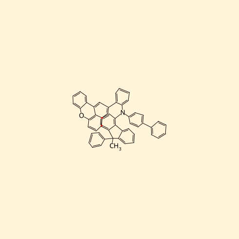 CC1(c2ccccc2)c2ccccc2-c2c(N(c3ccc(-c4ccccc4)cc3)c3ccccc3-c3cc4c5c(cccc5c3)Oc3ccccc3-4)cccc21